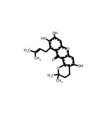 CC(C)=CCc1c(O)c(O)cc2oc3cc(O)c4c(c3c(=O)c12)OC(C)(C)CC4